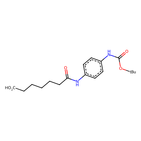 CC(C)(C)OC(=O)Nc1ccc(NC(=O)CCCCCC(=O)O)cc1